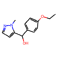 CCOc1ccc(C(O)c2ccnn2C)cc1